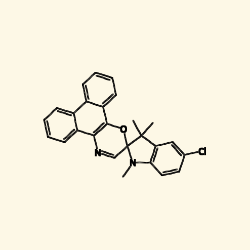 CN1c2ccc(Cl)cc2C(C)(C)C12C=Nc1c(c3ccccc3c3ccccc13)O2